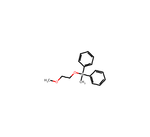 COCCO[Si](C)(c1ccccc1)c1ccccc1